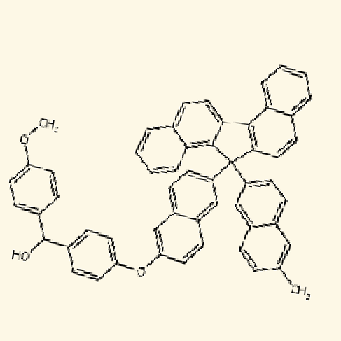 COc1ccc(C(O)c2ccc(Oc3ccc4cc(C5(c6ccc7cc(C)ccc7c6)c6ccc7ccccc7c6-c6ccc7ccccc7c65)ccc4c3)cc2)cc1